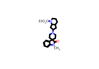 CCOC(=O)N1CCCC2CC(N3CCC4(CC3)C(=O)N(C)c3ccccc34)CC21